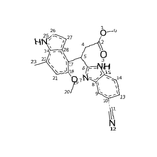 COC(=O)CC(c1nc2cc(C#N)ccc2[nH]1)c1c(OC)cc(C)c2[nH]ccc12